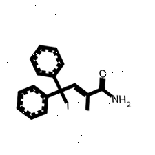 CC(=CC(I)(c1ccccc1)c1ccccc1)C(N)=O